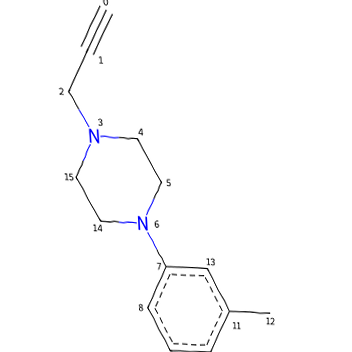 C#CCN1CCN(c2cccc(C)c2)CC1